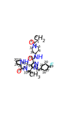 C=CC(=O)N1CCC(NC(=O)c2nn(Cc3ccc(F)cc3)c3c2CN(C(=O)c2ccc[nH]2)C[C@H]3C)CC1